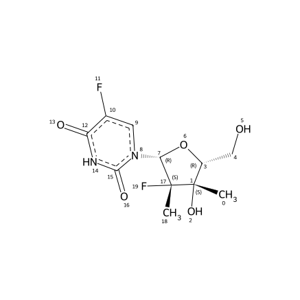 C[C@]1(O)[C@@H](CO)O[C@@H](n2cc(F)c(=O)[nH]c2=O)[C@@]1(C)F